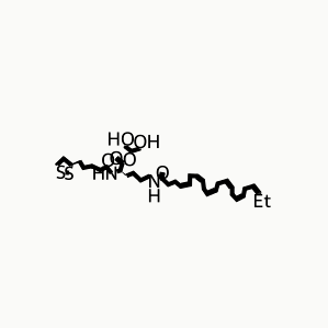 CC/C=C\C/C=C\C/C=C\C/C=C\C/C=C\C/C=C\CCC(=O)NCCCC[C@H](NC(=O)CCCC[C@@H]1CCSS1)C(=O)OC(CO)CO